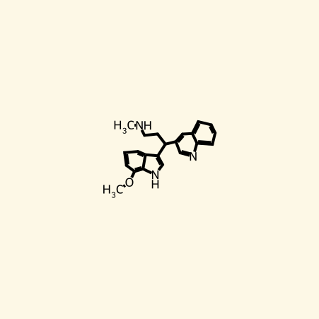 CNCCC(c1cnc2ccccc2c1)c1c[nH]c2c(OC)cccc12